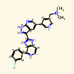 CN(C)Cc1cncc(-c2cnc3[nH]nc(-c4nc5c(-c6cccc(F)c6)nccc5[nH]4)c3c2)c1